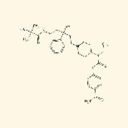 CCN(C(=O)Cc1ccc(C(N)=O)cc1)C1CCN(CCC(O)(CCNC(=O)C(C)(C)C)c2ccccc2)CC1